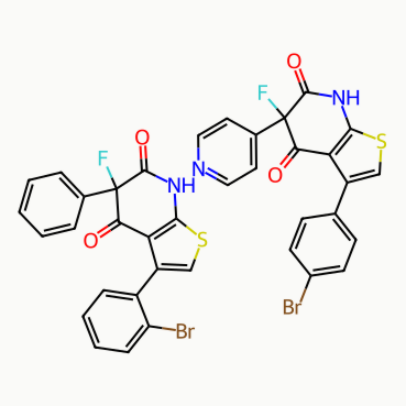 O=C1Nc2scc(-c3ccc(Br)cc3)c2C(=O)C1(F)c1ccncc1.O=C1Nc2scc(-c3ccccc3Br)c2C(=O)C1(F)c1ccccc1